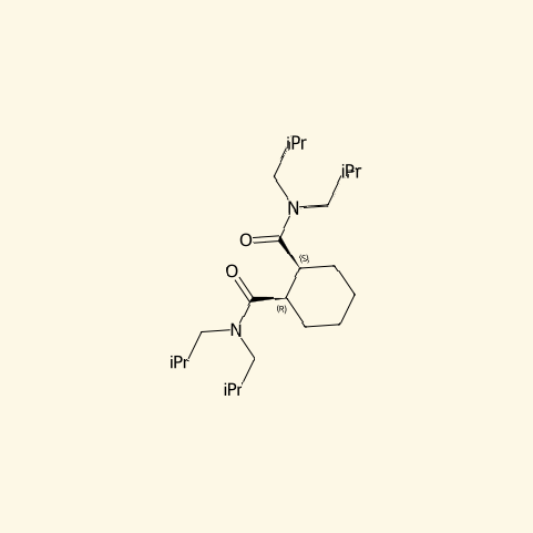 CC(C)CN(CC(C)C)C(=O)[C@H]1CCCC[C@H]1C(=O)N(CC(C)C)CC(C)C